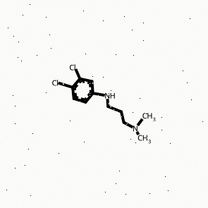 CN(C)CCCNc1ccc(Cl)c(Cl)c1